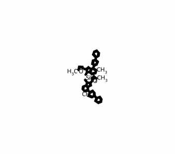 Cc1ccc(C2=Cc3c(ccc(C)c3-c3ccc(-c4ccccc4)cc3)C2C[SiH2]CC2C(c3ccc(C)o3)=Cc3c2ccc(C)c3-c2ccc(-c3ccccc3)cc2)o1